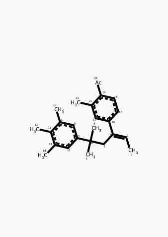 C/C=C(\CC(C)(C)c1cc(C)c(C)c(C)c1)c1ccc(C(C)=O)c(C)c1